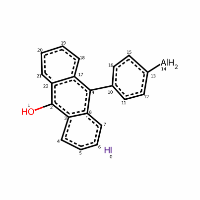 I.Oc1c2ccccc2c(-c2cc[c]([AlH2])cc2)c2ccccc12